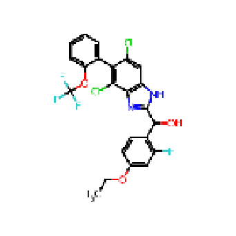 CCOc1ccc(C(O)c2nc3c(Cl)c(-c4ccccc4OC(F)(F)F)c(Cl)cc3[nH]2)c(F)c1